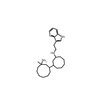 CC1(N)CCCCCCC(C2CCCCCC(NCCc3c[nH]c4cccnc34)C2)C1